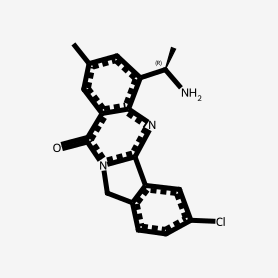 Cc1cc([C@@H](C)N)c2nc3n(c(=O)c2c1)Cc1ccc(Cl)cc1-3